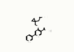 O=C(O)CC1(CSc2cc(-c3cccnc3)ncc2C(=O)O)CC1